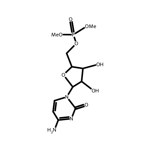 COP(=O)(OC)OCC1OC(n2ccc(N)nc2=O)C(O)C1O